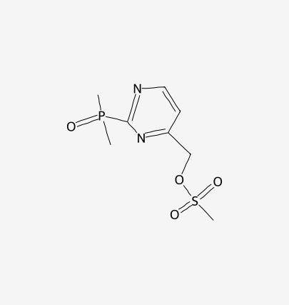 CP(C)(=O)c1nccc(COS(C)(=O)=O)n1